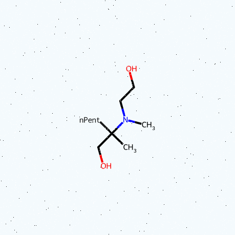 CCCCCC(C)(CO)N(C)CCO